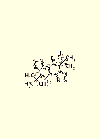 CC(C)(C)c1c(F)c2c3c(c(C(C)(C)C)c(F)c2c2c1=NCN=2)=NCN=3